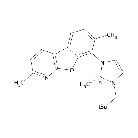 Cc1ccc2c(n1)oc1c(N3C=CN(CC(C)(C)C)[C@@H]3C)c(C)ccc12